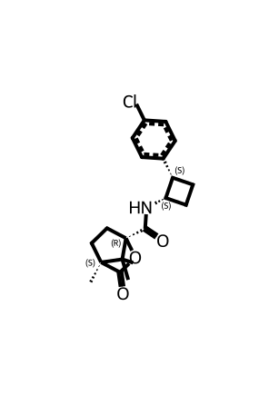 CC1(C)[C@@]2(C(=O)N[C@H]3CC[C@H]3c3ccc(Cl)cc3)CC[C@]1(C)C(=O)O2